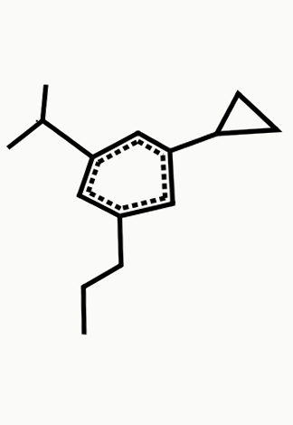 CCCc1cc([C](C)C)cc(C2CC2)c1